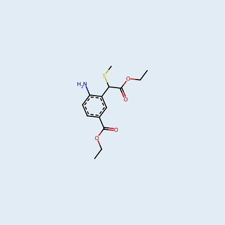 CCOC(=O)c1ccc(N)c(C(SC)C(=O)OCC)c1